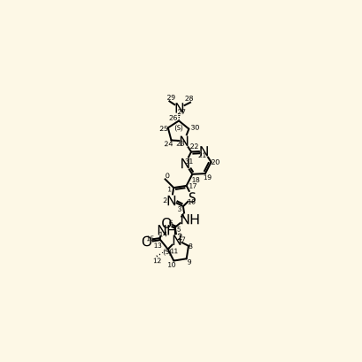 Cc1nc(NC(=O)N2CCC[C@@]2(C)C(N)=O)sc1-c1ccnc(N2CC[C@H](N(C)C)C2)n1